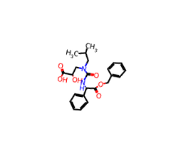 CC(C)CN(CC(O)C(=O)O)C(=O)N[C@H](C(=O)OCc1ccccc1)c1ccccc1